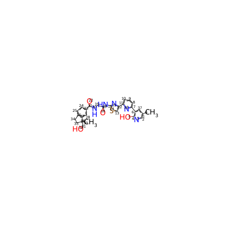 Cc1cnc(O)c(-c2cccc(-c3csc(NC(=O)CNC(=O)c4ccc5c(c4)[C@](C)(CO)CC5)n3)n2)c1